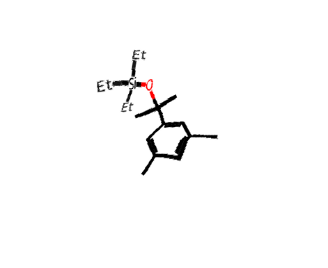 CC[Si](CC)(CC)OC(C)(C)c1cc(C)cc(C)c1